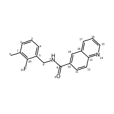 Cc1cccc(CNC(=O)c2ccc3ncccc3c2)c1F